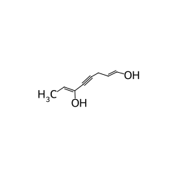 CC=C(O)C#CCC=CO